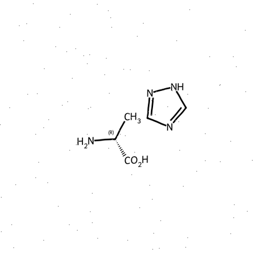 C[C@@H](N)C(=O)O.c1nc[nH]n1